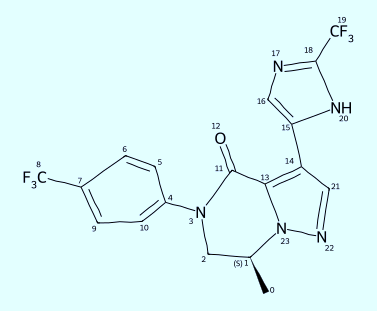 C[C@H]1CN(c2ccc(C(F)(F)F)cc2)C(=O)c2c(-c3cnc(C(F)(F)F)[nH]3)cnn21